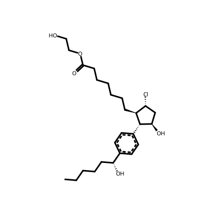 CCCCC[C@@H](O)c1ccc([C@@H]2[C@@H](CCCCCCC(=O)OCCO)[C@H](Cl)C[C@H]2O)cc1